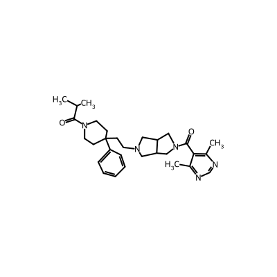 Cc1ncnc(C)c1C(=O)N1CC2CN(CCC3(c4ccccc4)CCN(C(=O)C(C)C)CC3)CC2C1